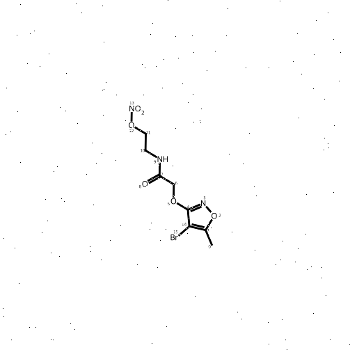 Cc1onc(OCC(=O)NCCO[N+](=O)[O-])c1Br